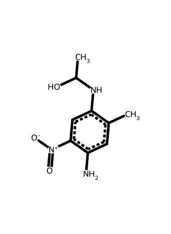 Cc1cc(N)c([N+](=O)[O-])cc1NC(C)O